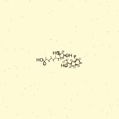 O=C(O)CCCCCC[C@@H]1[C@@H](CCC(O)c2ccc3cccc(F)c3c2)[C@H](O)C[C@@H]1O